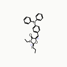 CC/N=C1\O/C(=C/c2ccc(N(c3ccccc3)c3ccccc3)cc2)C(=O)N1CC